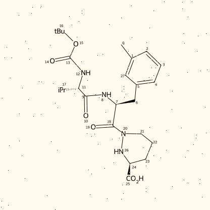 Cc1cccc(C[C@H](NC(=O)[C@@H](NC(=O)OC(C)(C)C)C(C)C)C(=O)N2CCC[C@@H](C(=O)O)N2)c1